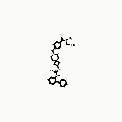 CN(CC=O)C(=O)c1ccc(CN2CCC3(CC2)CC(OC(=O)Nc2ccccc2-c2ccccc2)C3)cc1